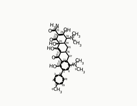 Cc1ccc(-c2cc(N(C)C)c3c(c2O)C(=O)C2=C(O)C4(O)C(=O)C(C(N)=O)=C(O)C(N(C)C)C4CC2C3)cc1